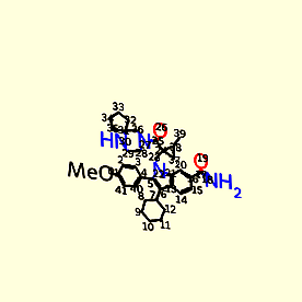 COc1ccc(-c2c(C3CCCCC3)c3ccc(C(N)=O)cc3n2CC2(C(=O)N3CCNC4(CCCC4)C3)CC2C)cc1